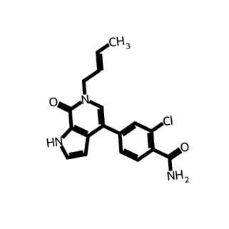 CC=CCn1cc(-c2ccc(C(N)=O)c(Cl)c2)c2cc[nH]c2c1=O